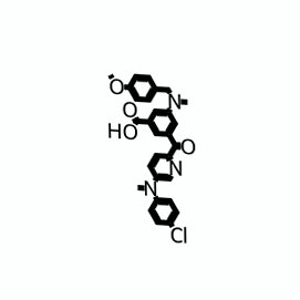 COc1ccc(CN(C)c2cc(C(=O)O)cc(C(=O)c3ccc(N(C)c4ccc(Cl)cc4)cn3)c2)cc1